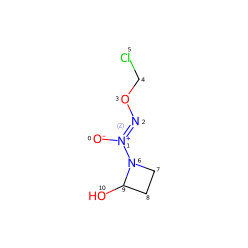 [O-]/[N+](=N\OCCl)N1CCC1O